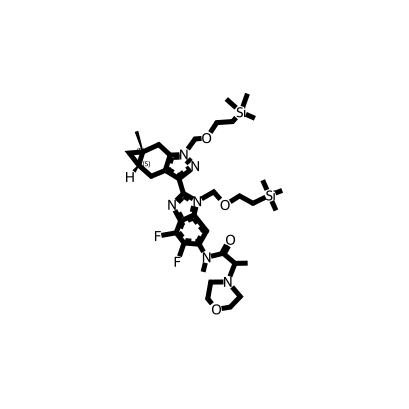 CC(C(=O)N(C)c1cc2c(nc(-c3nn(COCC[Si](C)(C)C)c4c3C[C@@H]3C[C@]3(C)C4)n2COCC[Si](C)(C)C)c(F)c1F)N1CCOCC1